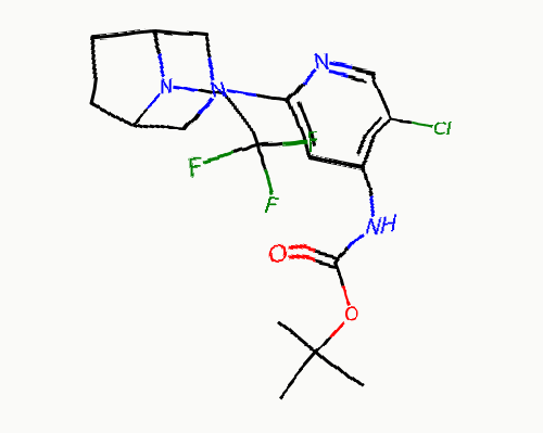 CC(C)(C)OC(=O)Nc1cc(N2CC3CCC(C2)N3CC(F)(F)F)ncc1Cl